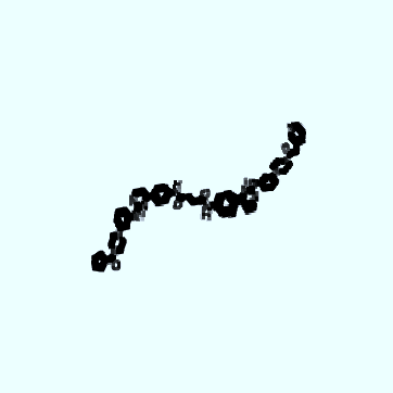 O=C(CCC(=O)Nc1ccc(-c2ccnc(Nc3cccc(N4CCN(C(=O)C5CCCC5)CC4)c3)n2)cc1)Nc1ccc(-c2ccnc(Nc3cccc(N4CCN(C(=O)Cc5cccnc5)CC4)c3)n2)cc1